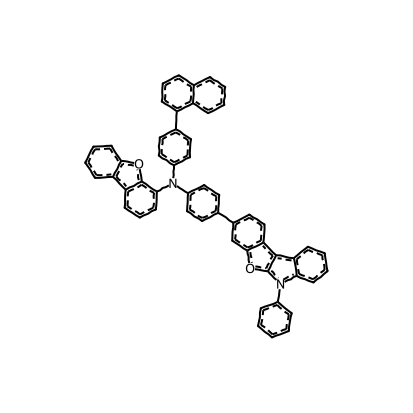 c1ccc(-n2c3ccccc3c3c4ccc(-c5ccc(N(c6ccc(-c7cccc8ccccc78)cc6)c6cccc7c6oc6ccccc67)cc5)cc4oc32)cc1